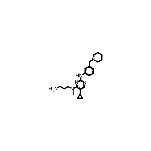 NCCCNc1nc(Nc2cccc(CN3CCCCC3)c2)ncc1C1CC1